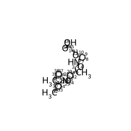 CC(=CC(=O)Nc1ccccc1OCCCC(=O)O)c1ccc2c(ccn2C(c2ccc(C)cc2)c2ccccc2C)c1